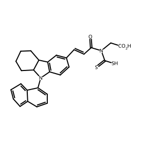 O=C(O)CN(C(=O)/C=C/c1ccc2c(c1)C1CCCCC1N2c1cccc2ccccc12)C(=S)S